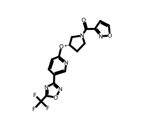 O=C(c1ccon1)N1CC[C@H](Oc2ccc(-c3noc(C(F)(F)F)n3)cn2)C1